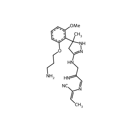 C/C=C(C#N)\N=C/C(=N)CNC1=NNC(C)(c2c(OC)cccc2OCCCN)C1